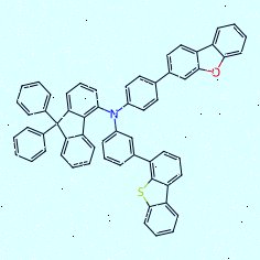 c1ccc(C2(c3ccccc3)c3ccccc3-c3c(N(c4ccc(-c5ccc6c(c5)oc5ccccc56)cc4)c4cccc(-c5cccc6c5sc5ccccc56)c4)cccc32)cc1